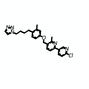 Cc1cc(OCc2ccc(-c3ccc(Cl)nc3)nc2C)ccc1CCCCn1ccnn1